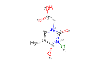 Cc1cn(CC(=O)O)c(=O)n(Cl)c1=O